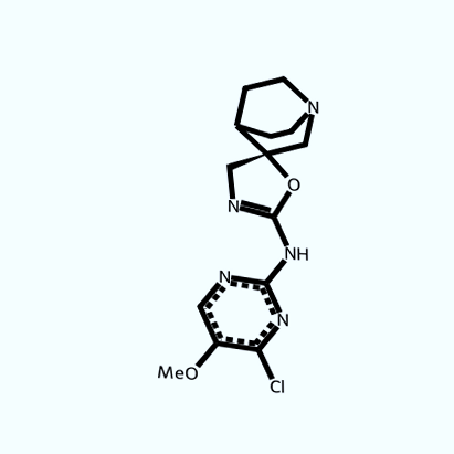 COc1cnc(NC2=NC[C@@]3(CN4CCC3CC4)O2)nc1Cl